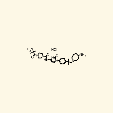 CC(C)(N)C(=O)N1CCN(C(=O)Nc2ccn(-c3ccc(C(C)(C)CN4CCCC(N)CC4)cc3)c(=O)n2)CC1.Cl